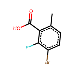 Cc1ccc(Br)c(F)c1C(=O)O